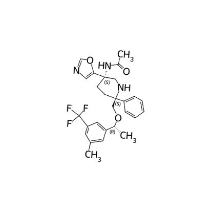 CC(=O)N[C@@]1(c2cnco2)CC[C@@](CO[C@H](C)c2cc(C)cc(C(F)(F)F)c2)(c2ccccc2)NC1